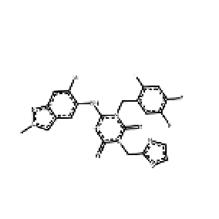 Cn1cc2cc(Nc3nc(=O)n(Cc4nccs4)c(=O)n3Cc3cc(F)c(F)cc3F)c(Br)cc2n1